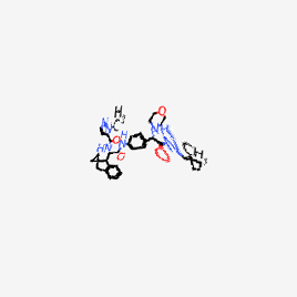 Cn1nccc1C(=O)N[C@H](C(=O)Nc1ccc(C(C(=O)NCC2(C)CCC2)N2CCOCC2)cc1)C1c2ccccc2CC12CC2